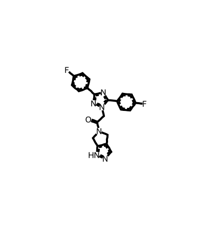 O=C(Cn1nc(-c2ccc(F)cc2)nc1-c1ccc(F)cc1)N1Cc2cn[nH]c2C1